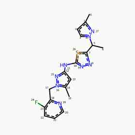 Cc1ccn(C(C)c2nnc(Nc3cc(C)n(Cc4ncccc4F)n3)s2)n1